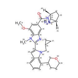 COc1cc(C(=O)N2C[C@H]3CC[C@@H]2[C@@H]3N)cc2nc(-c3cc4cccc(C5CCCOC5)c4n3CC3CC3)n(C)c12